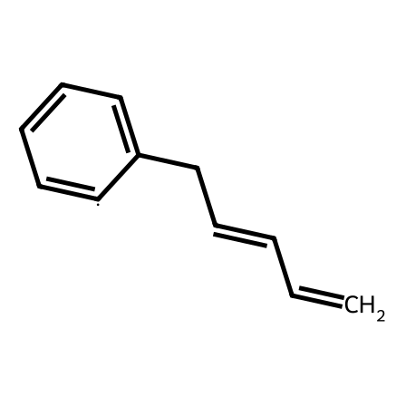 C=CC=CCc1[c]cccc1